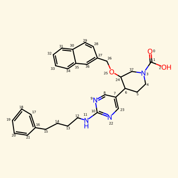 O=C(O)N1CCC(c2cnc(NCCCCc3ccccc3)nc2)C(OCc2ccc3ccccc3c2)C1